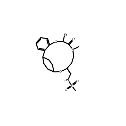 CCC1Oc2ccccc2C2CCC(CC2)OC(CNS(C)(=O)=O)CCN(C)C1=O